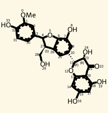 COc1cc(C2Oc3c(O)cc([C@H]4Oc5cc(O)cc(O)c5C(=O)[C@@H]4O)cc3[C@H]2CO)ccc1O